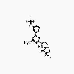 Cc1cc(-c2cccc(OC(F)(F)F)c2)nc([C@H]2CC[C@@]3(CCN(C)C3=O)N2)n1